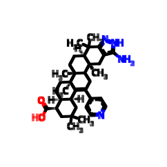 CC1(C)C[C@@H]2C3=C(c4ccncc4)CC4[C@@]5(C)Cc6c(n[nH]c6N)C(C)(C)[C@@H]5CC[C@@]4(C)[C@]3(C)CC[C@@H]2[C@H](C(=O)O)C1